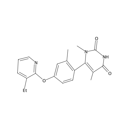 CCc1cccnc1Oc1ccc(-c2c(C)c(=O)[nH]c(=O)n2C)c(C)c1